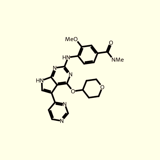 CNC(=O)c1ccc(Nc2nc(OC3CCOCC3)c3c(-c4ccncn4)c[nH]c3n2)c(OC)c1